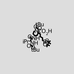 CC(C)[C@H](NC(=O)OC(C)(C)C)C(=O)N[C@H]1CCN(C(=O)OC(C)(C)C)[C@@](CCCCB2OC(C)(C)C(C)(C)O2)(C(=O)O)C1